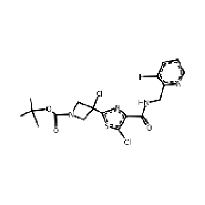 CC(C)(C)OC(=O)N1CC(Cl)(c2nc(C(=O)NCc3ncccc3F)c(Cl)s2)C1